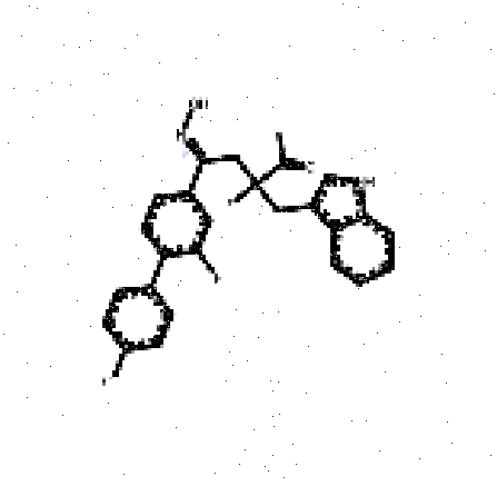 O=C(O)C(F)(C/C(=N\O)c1ccc(-c2ccc(Cl)cc2)c(F)c1)Cc1c[nH]c2ccccc12